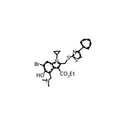 CCOC(=O)c1c(CSc2nc(-c3ccccc3)cs2)n(C2CC2)c2cc(Br)c(O)c(CN(C)C)c12